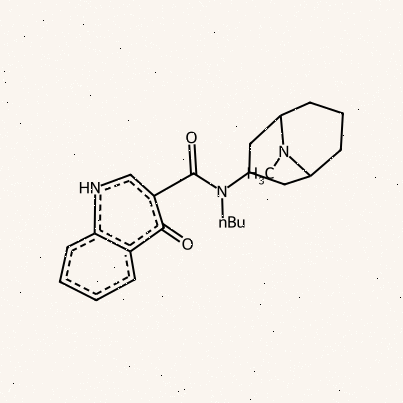 CCCCN(C(=O)c1c[nH]c2ccccc2c1=O)C1CC2CCCC(C1)N2C